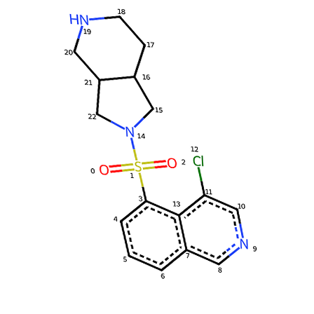 O=S(=O)(c1cccc2cncc(Cl)c12)N1CC2CCNCC2C1